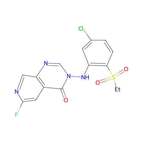 CCS(=O)(=O)c1ccc(Cl)cc1Nn1cnc2cnc(F)cc2c1=O